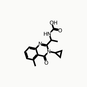 Cc1cccc2nc(C(C)NC(=O)O)n(C3CC3)c(=O)c12